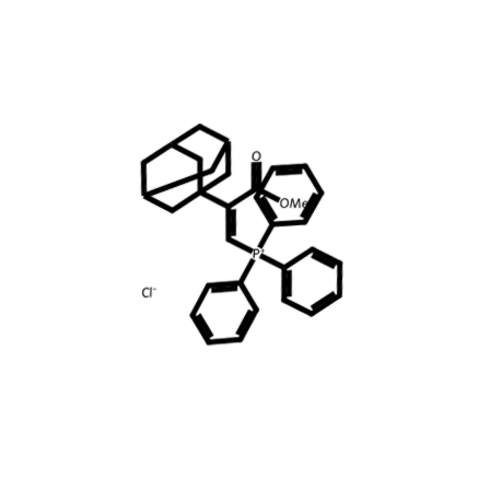 COC(=O)C(=C[P+](c1ccccc1)(c1ccccc1)c1ccccc1)C12CC3CC(CC(C3)C1)C2.[Cl-]